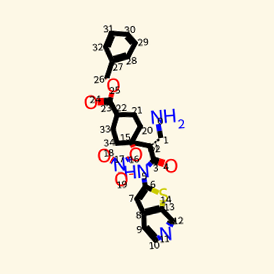 NC[C@H](C(=O)Nc1cc2ccncc2s1)C1(O[N+](=O)[O-])CCC(C(=O)OCc2ccccc2)CC1